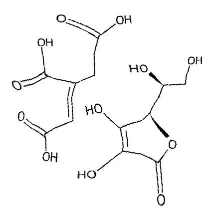 O=C(O)C=C(CC(=O)O)C(=O)O.O=C1O[C@H]([C@@H](O)CO)C(O)=C1O